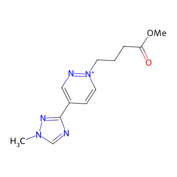 COC(=O)CCC[n+]1ccc(-c2ncn(C)n2)cn1